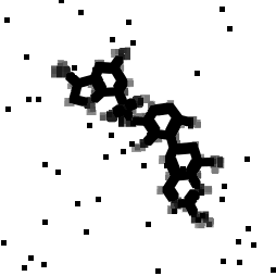 CCc1cc(-c2c(F)ccc(NS(=O)(=O)c3cc(Cl)cc4c3OCC4O)c2F)cc2cnc(N)nc12